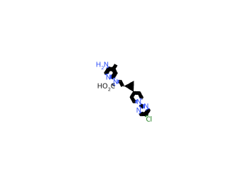 Cc1cc(N(CC[C@@H]2C[C@@H]2C2CCN(c3ncc(Cl)cn3)CC2)C(=O)O)ncc1N